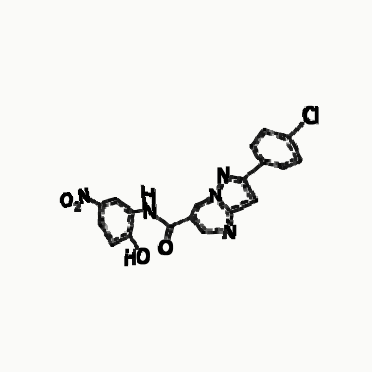 O=C(Nc1cc([N+](=O)[O-])ccc1O)c1cnc2cc(-c3ccc(Cl)cc3)nn2c1